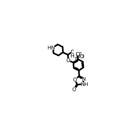 CC(Oc1cc(-c2n[nH]c(=O)o2)ccc1C(F)(F)F)C1CCNCC1.Cl